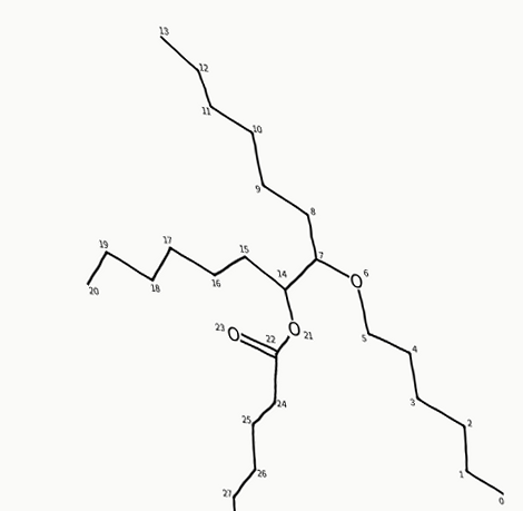 CCCCCCOC(CCCCCC)C(CCCCCC)OC(=O)CCCCC